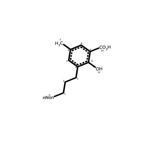 CCCCCCCCCCCCc1cc(C)cc(C(=O)O)c1O